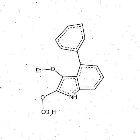 CCOc1c(OC(=O)O)[nH]c2cccc(-c3ccccc3)c12